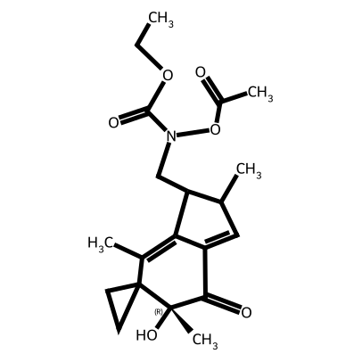 CCOC(=O)N(CC1C2=C(C)C3(CC3)[C@@](C)(O)C(=O)C2=CC1C)OC(C)=O